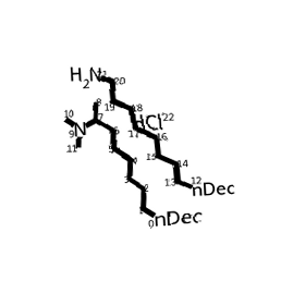 CCCCCCCCCCCCCCCCC(C)N(C)C.CCCCCCCCCCCCCCCCCCN.Cl